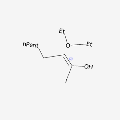 CCCCCC/C=C(/O)I.CCOCC